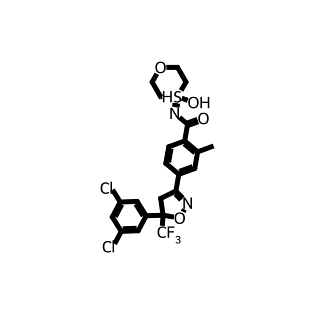 Cc1cc(C2=NOC(c3cc(Cl)cc(Cl)c3)(C(F)(F)F)C2)ccc1C(=O)N=[SH]1(O)CCOCC1